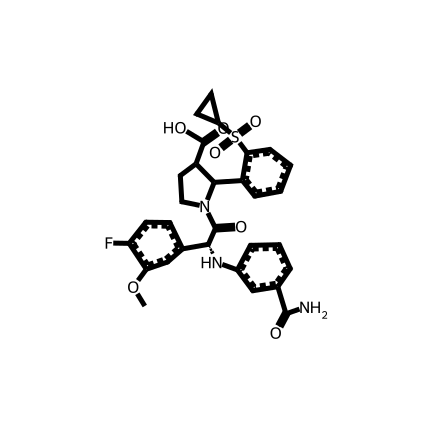 COc1cc([C@@H](Nc2cccc(C(N)=O)c2)C(=O)N2CCC(C(=O)O)C2c2ccccc2S(=O)(=O)C2CC2)ccc1F